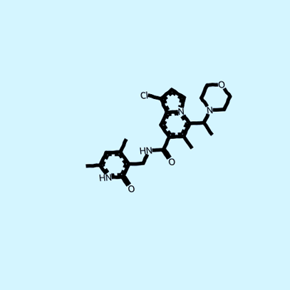 Cc1cc(C)c(CNC(=O)c2cc3c(Cl)ccn3c(C(C)N3CCOCC3)c2C)c(=O)[nH]1